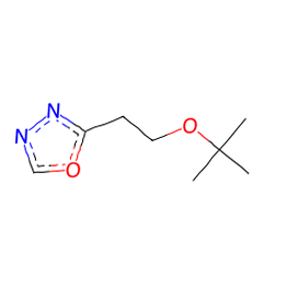 CC(C)(C)OCCc1nnco1